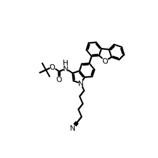 CC(C)(C)OC(=O)Nc1cn(CCCCCC#N)c2ccc(-c3cccc4c3oc3ccccc34)cc12